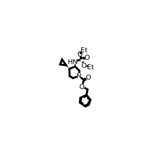 CCOP(=O)(N[C@H]1CN(C(=O)OCc2ccccc2)CC[C@@H]1C1CC1)OCC